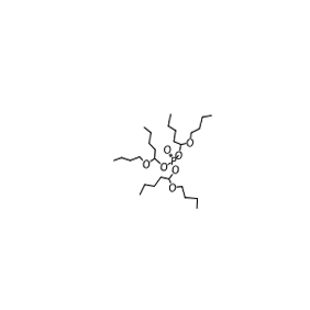 CCCCOC(CCCC)OP(=O)(OC(CCCC)OCCCC)OC(CCCC)OCCCC